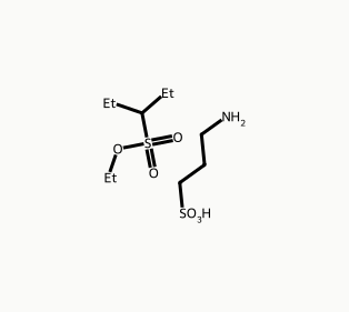 CCOS(=O)(=O)C(CC)CC.NCCCS(=O)(=O)O